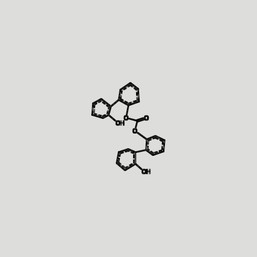 O=C(Oc1ccccc1-c1ccccc1O)Oc1ccccc1-c1ccccc1O